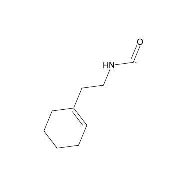 O=[C]NCCC1=CCCCC1